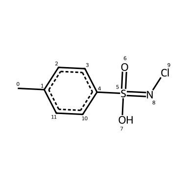 Cc1ccc(S(=O)(O)=NCl)cc1